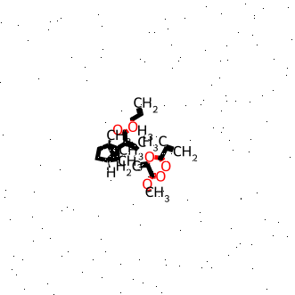 C=C(C)C(=O)OC(=C)C(=O)OC.C=CCOC(=O)C(=CC)C1C[C@H]2CC[C@@]1(C)C2(C)C